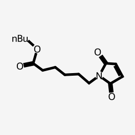 CCCCOC(=O)CCCCCN1C(=O)C=CC1=O